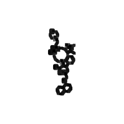 Cc1c2c(nn1C)CN(CCN1CCOCC1)S(=O)(=O)CCCn1c(C(=O)O)c(CCCOc3cccc4ccccc34)c3cccc-2c31